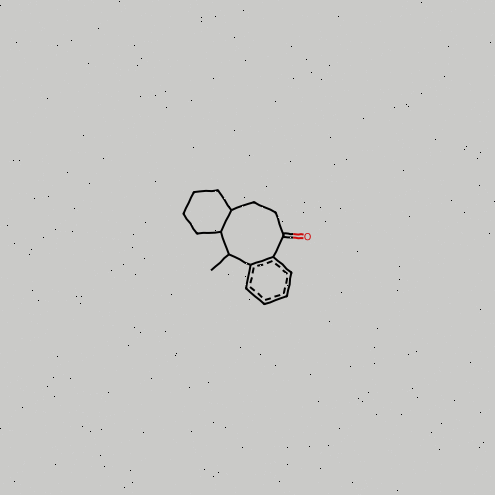 CC1c2ccccc2C(=O)CCC2CCCCC21